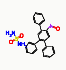 NS(N)(=O)=O.O=Ic1cc(-c2ccccc2)c(-c2ccccc2)cc1-c1ccccc1